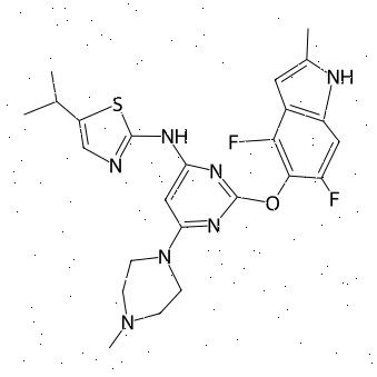 Cc1cc2c(F)c(Oc3nc(Nc4ncc(C(C)C)s4)cc(N4CCN(C)CC4)n3)c(F)cc2[nH]1